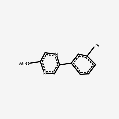 COc1cnc(-c2cccc(C(C)C)c2)cn1